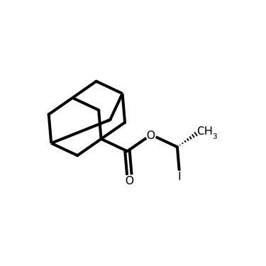 C[C@H](I)OC(=O)C12CC3CC(CC(C3)C1)C2